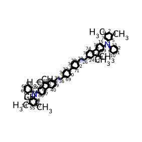 Cc1cc(C)cc(N(c2ccccc2)c2ccc3c(c2)C(C)(C)c2cc(/C=C/c4ccc(-c5ccc(/C=C/c6ccc7c(c6)C(C)(C)c6cc(N(c8cc(C)cc(C)c8)C8C=CC=CC8C)ccc6-7)cc5)cc4)ccc2-3)c1